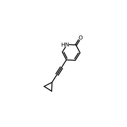 O=c1ccc(C#CC2CC2)c[nH]1